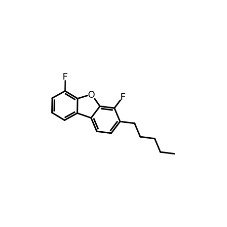 CCCCCc1ccc2c(oc3c(F)cccc32)c1F